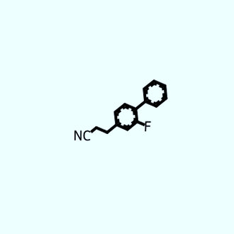 N#CCCc1ccc(-c2ccccc2)c(F)c1